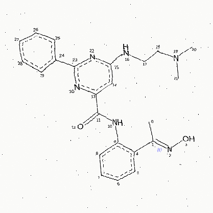 C/C(=N\O)c1ccccc1NC(=O)c1cc(NCCN(C)C)nc(-c2ccccc2)n1